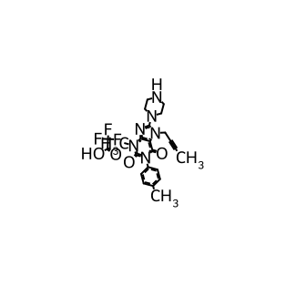 CC#CCn1c(N2CCNCC2)nc2c1c(=O)n(-c1ccc(C)cc1)c(=O)n2C.O=C(O)C(F)(F)F